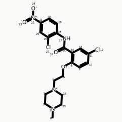 CN1CCN(CCOc2ccc(Cl)cc2C(=O)Nc2ccc([N+](=O)[O-])cc2Cl)CC1